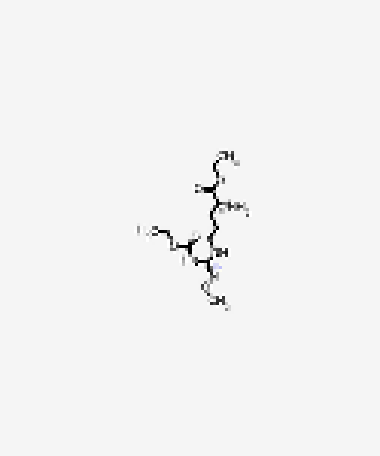 CCOC(=O)N/C(=N\OC)NCCC[C@H](N)C(=O)OCC